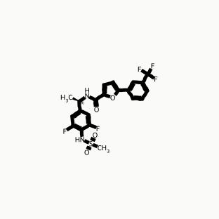 C[C@@H](NC(=O)c1ccc(-c2cccc(C(F)(F)F)c2)o1)c1cc(F)c(NS(C)(=O)=O)c(F)c1